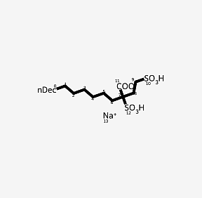 CCCCCCCCCCCCCCCCC(CCS(=O)(=O)O)(C(=O)[O-])S(=O)(=O)O.[Na+]